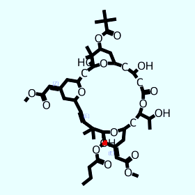 CCCC(=O)OC1/C(=C/C(=O)OC)CC2CC(C(C)O)OC(=O)CC(O)CC3CC(OC(=O)C(C)(C)C)C(C)(C)C(O)(CC4C/C(=C/C(=O)OC)CC(/C=C/C(C)(C)C1(O)O2)O4)O3